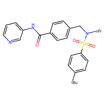 CCCN(Cc1ccc(C(=O)Nc2cccnc2)cc1)S(=O)(=O)c1ccc(C(C)(C)C)cc1